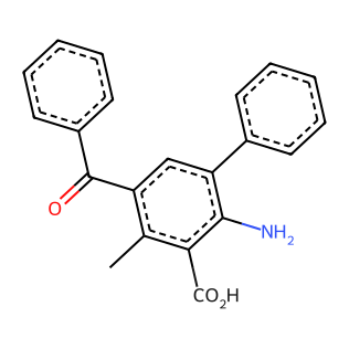 Cc1c(C(=O)c2ccccc2)cc(-c2ccccc2)c(N)c1C(=O)O